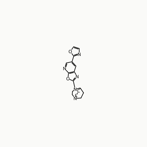 c1coc(-c2cnc3oc(N4CCN5CCC4CC5)nc3c2)n1